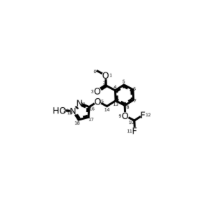 COC(=O)c1cccc(OC(F)F)c1COc1ccn(O)n1